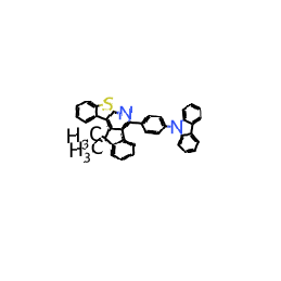 CC1(C)c2ccccc2-c2c(-c3ccc(-n4c5ccccc5c5ccccc54)cc3)nc3sc4ccccc4c3c21